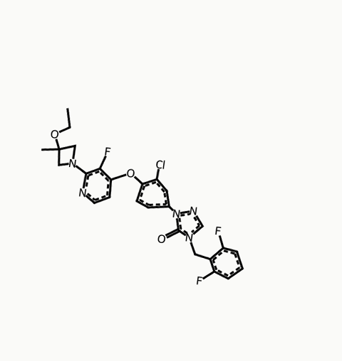 CCOC1(C)CN(c2nccc(Oc3ccc(-n4ncn(Cc5c(F)cccc5F)c4=O)cc3Cl)c2F)C1